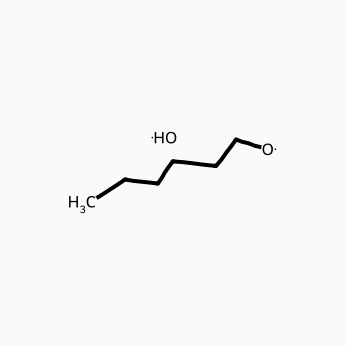 CCCCCC[O].[OH]